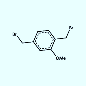 COc1cc(CBr)ccc1CBr